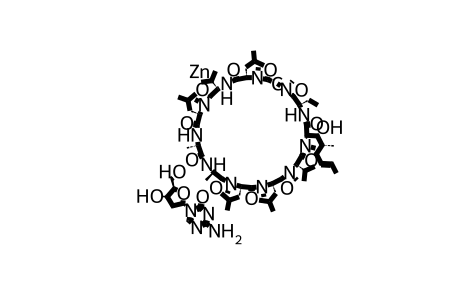 C/C=C/C[C@@H](C)[C@@H](O)[C@H]1C(=O)N[C@@H](CC)C(=O)N(C)CC(=O)N(C)[C@@H](CC(C)C)C(=O)N[C@@H](C(C)C)C(=O)N(C)[C@@H](CC(C)C)C(=O)N[C@@H](C)C(=O)N[C@H](C)C(=O)N(C)[C@@H](CC(C)C)C(=O)N(C)[C@@H](CC(C)C)C(=O)N(C)[C@@H](C(C)C)C(=O)N1C.Nc1ncn([C@H]2C[C@H](O)[C@@H](CO)O2)c(=O)n1.[Zn]